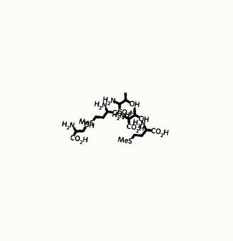 CC(O)C(N)C(=O)O.CC(O)C(N)C(=O)O.CSCCC(N)C(=O)O.CSCCC(N)C(=O)O.NC(CO)C(=O)O